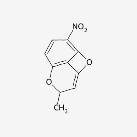 CC1C=C2Oc3c([N+](=O)[O-])ccc(c32)O1